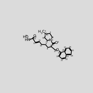 CN1CCN(C(=O)C(CCC/C=C/C(=O)NO)COc2cccc3ccccc23)CC1